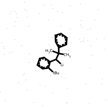 [Li][CH](c1ccccc1C(C)(C)C)C(C)(C)c1ccccc1